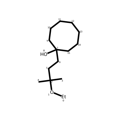 CCOC(C)(C)CCC1(O)CCCCCCC1